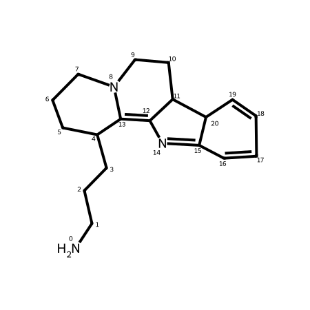 NCCCC1CCCN2CCC3C(=C12)N=C1C=CC=CC13